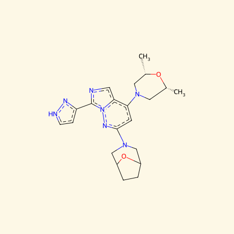 C[C@@H]1CN(c2cc(N3CC4CCC(C3)O4)nn3c(-c4cc[nH]n4)ncc23)C[C@H](C)O1